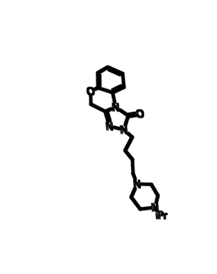 CC(C)N1CCN(CCCCn2nc3n(c2=O)-c2ccccc2OC3)CC1